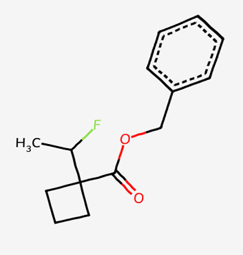 CC(F)C1(C(=O)OCc2ccccc2)CCC1